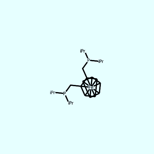 CC(C)P(C[C]12[CH]3[CH]4[CH]5[C]1(CP(C(C)C)C(C)C)[Fe]43521678[CH]2[CH]1[CH]6[CH]7[CH]28)C(C)C